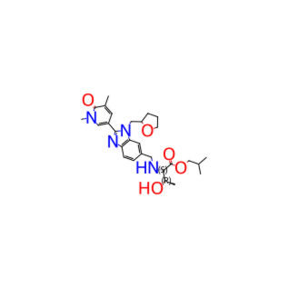 Cc1cc(-c2nc3ccc(CN[C@H](C(=O)OCC(C)C)[C@@H](C)O)cc3n2CC2CCCO2)cn(C)c1=O